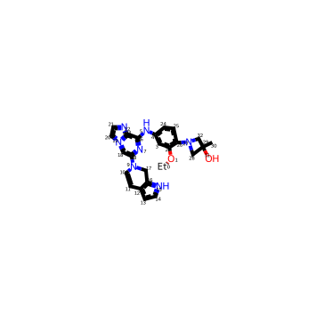 CCOc1cc(Nc2nc(N3C=Cc4cc[nH]c4C3)cn3ccnc23)ccc1N1CC(C)(O)C1